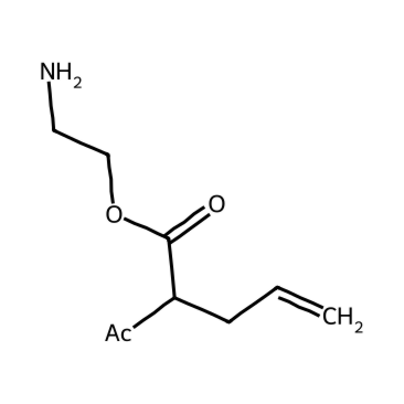 C=CCC(C(C)=O)C(=O)OCCN